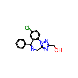 OCc1nc2n(n1)-c1ccc(Cl)cc1C(c1ccccc1)=NC2